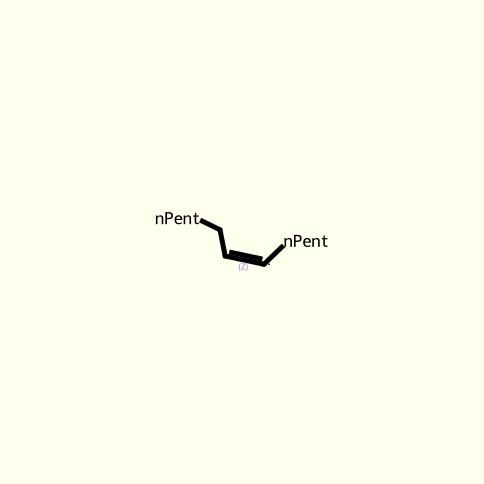 CCCCC/[C]=C\CCCCCC